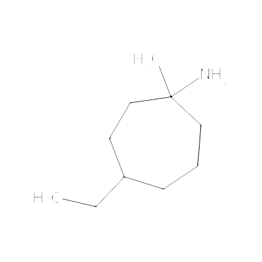 CCC1CCCC(C)(N)CC1